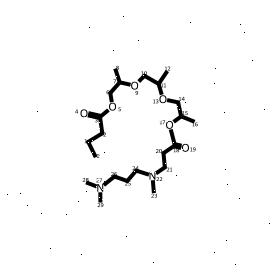 CCCC(=O)OCC(C)OCC(C)OCC(C)OC(=O)CCN(C)CCCN(C)C